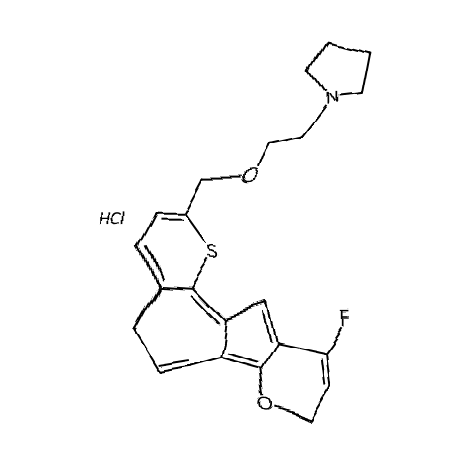 Cl.FC1=CCOC2=C3C=CCC4=CC=C(COCCN5CCCC5)SC4=C3C=C12